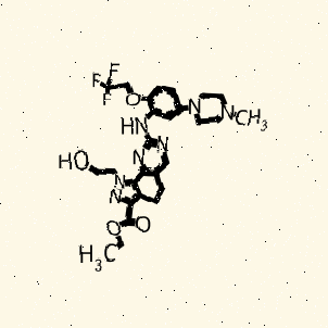 CCOC(=O)c1nn(CCO)c2c1CCc1cnc(Nc3cc(N4CCN(C)CC4)ccc3OCC(F)(F)F)nc1-2